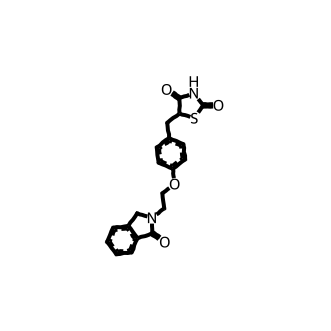 O=C1NC(=O)C(Cc2ccc(OCCN3Cc4ccccc4C3=O)cc2)S1